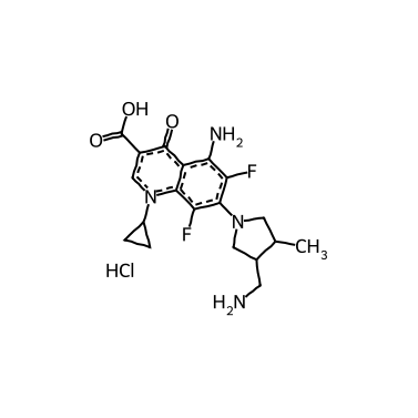 CC1CN(c2c(F)c(N)c3c(=O)c(C(=O)O)cn(C4CC4)c3c2F)CC1CN.Cl